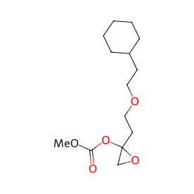 COC(=O)OC1(CCOCCC2CCCCC2)CO1